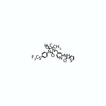 CC1(C)C(=O)N(c2ccc(SC(F)(F)F)cc2)C(=O)N1Cc1ccnc(NC(=O)c2cccs2)c1